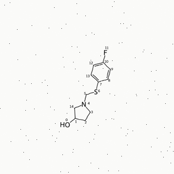 OC1CCN(CSc2ccc(F)cc2)C1